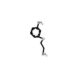 BCCOc1cccc(N)c1